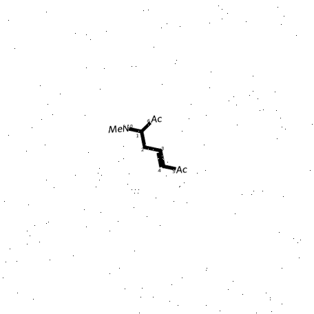 CNC(C/C=C/C(C)=O)C(C)=O